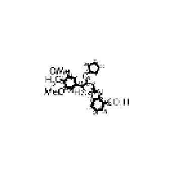 COc1cc([C@@H](O)[C@H](Cc2nc3c(C(=O)O)cccc3s2)OC2CCCC2)cc(OC)c1C